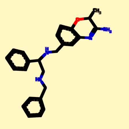 CC1Oc2ccc(CNC(CNCc3ccccc3)c3ccccc3)cc2N=C1N